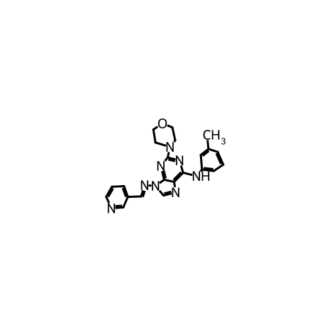 Cc1cccc(Nc2nc(N3CCOCC3)nc3c2ncn3/N=C/c2cccnc2)c1